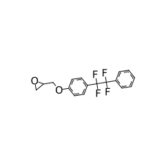 FC(F)(c1ccccc1)C(F)(F)c1ccc(OCC2CO2)cc1